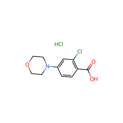 Cl.O=C(O)c1ccc(N2CCOCC2)cc1Cl